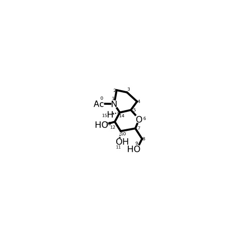 CC(=O)N1CCCC2OC(CO)[C@H](O)C(O)[C@H]21